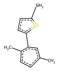 Cc1ccc(C)c(-c2ccc([SiH3])s2)c1